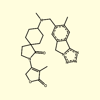 CC1=C(N2CCC3(CCC(N(C)Cc4cc5c(cc4C)-c4nnnn4C5)CC3)C2=O)COC1=O